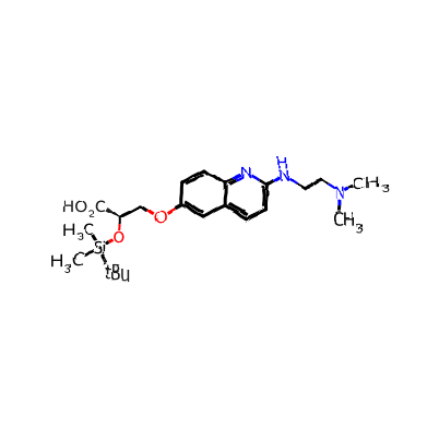 CN(C)CCNc1ccc2cc(OC[C@@H](O[Si](C)(C)C(C)(C)C)C(=O)O)ccc2n1